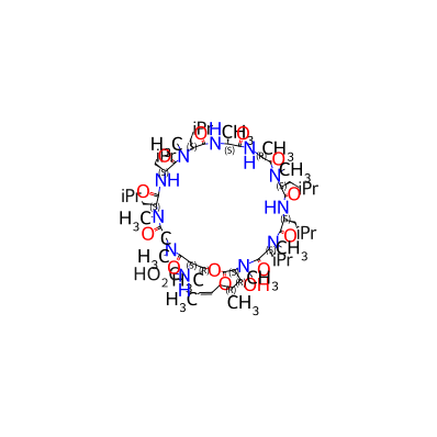 CC=CC[C@@H](C)[C@@H](O)[C@H]1C(=O)O[C@H](C)[C@H](NC(=O)O)C(=O)N(C)CC(=O)N(C)[C@@H](CC(C)C)C(=O)N[C@@H](CC(C)C)C(=O)N(C)[C@@H](CC(C)C)C(=O)N[C@@H](C)C(=O)N[C@H](C)C(=O)N(C)[C@@H](CC(C)C)C(=O)N[C@@H](CC(C)C)C(=O)N(C)[C@@H](C(C)C)C(=O)N1C